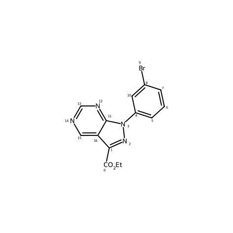 CCOC(=O)c1nn(-c2cccc(Br)c2)c2ncncc12